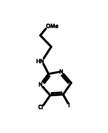 COCCNc1ncc(I)c(Cl)n1